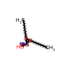 CCCCCCCCCCCCCCOc1cc(OCCCCCCCCCCCCCC)cc(C(=O)NCC(=O)O)c1